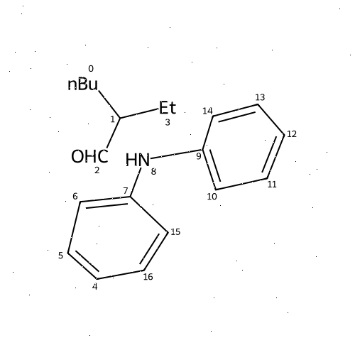 CCCCC(C=O)CC.c1ccc(Nc2ccccc2)cc1